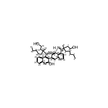 CCCCCC(C)(CCO)N(N)c1ccnc2cc(-c3c(O)nc4ccccc4c3N(N)C(C)(CCO)CCCCC)ccc12